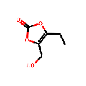 CCc1oc(=O)oc1CO